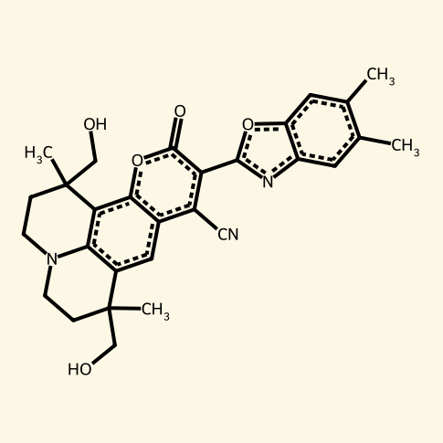 Cc1cc2nc(-c3c(C#N)c4cc5c6c(c4oc3=O)C(C)(CO)CCN6CCC5(C)CO)oc2cc1C